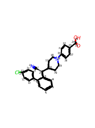 N#C[C@H](c1ccccc1-c1ccc(Cl)cc1)C1CCN(c2ccc(C(=O)O)cc2)CC1